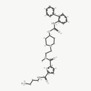 CN(CCN1CCC(OC(=O)Nc2ccccc2-c2ccccc2)CC1)C(=O)c1ccc(C(=O)NCCCN)s1